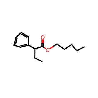 CCCCCOC(=O)C(CC)c1ccccc1